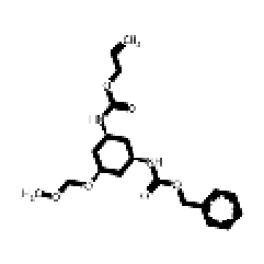 C=CCOC(=O)N[C@H]1C[C@@H](NC(=O)OCc2ccccc2)C[C@@H](OCOC)C1